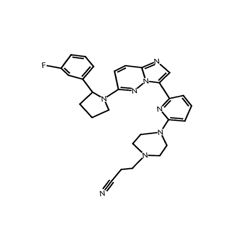 N#CCCN1CCN(c2cccc(-c3cnc4ccc(N5CCCC5c5cccc(F)c5)nn34)n2)CC1